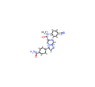 CN(C(=O)c1cn2c(-c3ccc(C(N)=O)cc3)cnc2cn1)c1ccc(C#N)cc1